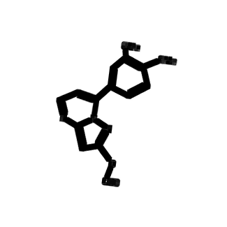 COc1ccc(-c2ccnc3cc(OC=O)nn23)cc1OC